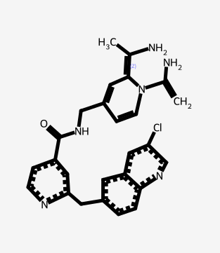 C=C(N)N1C=CC(CNC(=O)c2ccnc(Cc3ccc4ncc(Cl)cc4c3)c2)=C/C1=C(\C)N